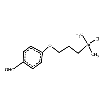 C[Si](C)(Cl)CCCOc1ccc(C=O)cc1